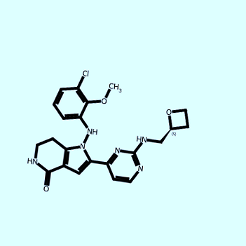 COc1c(Cl)cccc1Nn1c(-c2ccnc(NC[C@@H]3CCO3)n2)cc2c1CCNC2=O